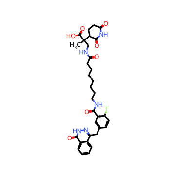 CC(CNC(=O)CCCCCCCNC(=O)c1cc(Cc2n[nH]c(=O)c3ccccc23)ccc1F)(C(=O)O)C1CCC(=O)NC1=O